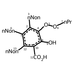 CCCCCCCCCc1c(CCCCCCCCC)c(OOCCC)c(O)c(C(=O)O)c1CCCCCCCCC